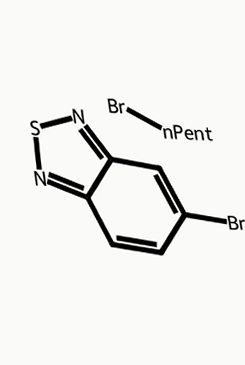 Brc1ccc2nsnc2c1.CCCCCBr